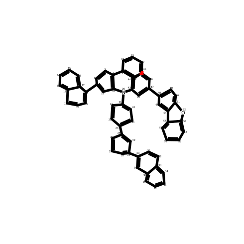 c1ccc(-c2ccc(-c3cccc4ccccc34)cc2N(c2ccc(-c3cccc(-c4ccc5ccccc5c4)c3)cc2)c2cccc(-c3ccc4oc5ccccc5c4c3)c2)cc1